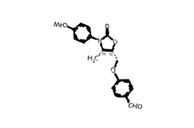 COc1ccc(N2C(=O)O[C@H](COc3ccc(C=O)cc3)[C@@H]2C)cc1